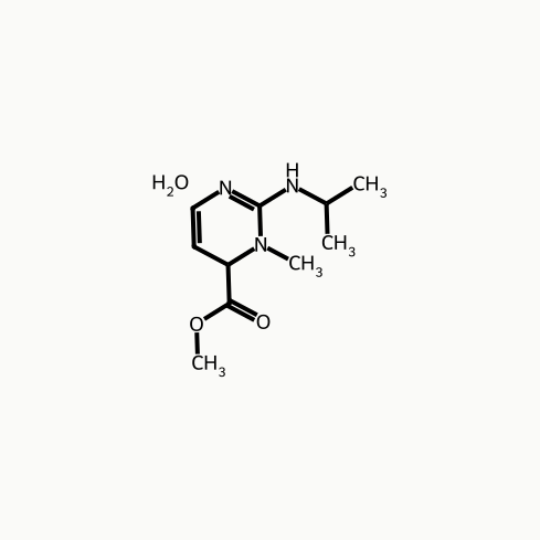 COC(=O)C1C=CN=C(NC(C)C)N1C.O